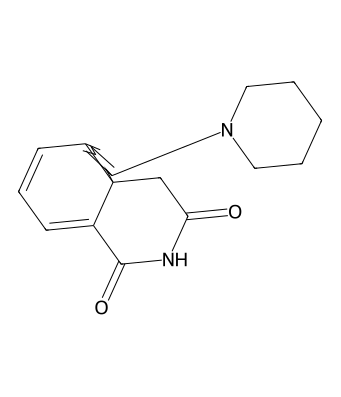 O=C1CC23CC(N4CCCCC4)=CC=C2C=CC=C3C(=O)N1